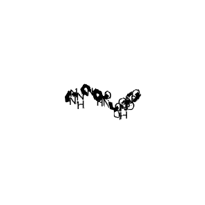 O=C(CCNC(=O)c1ccc(N2CCC[C@H](Nc3ncccn3)C2)cc1)ONS(=O)(=O)N1CCOCC1